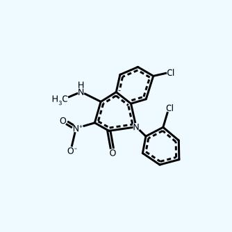 CNc1c([N+](=O)[O-])c(=O)n(-c2ccccc2Cl)c2cc(Cl)ccc12